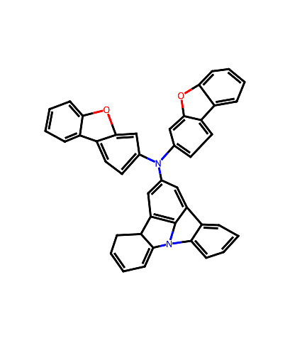 C1=CCC2C(=C1)n1c3ccccc3c3cc(N(c4ccc5c(c4)oc4ccccc45)c4ccc5c(c4)oc4ccccc45)cc2c31